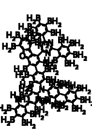 Bc1c(B)c(B)c(-c2nc(-c3c(B)c(B)c(B)c(B)c3B)nc(-c3c(B)c(-c4c(B)c(B)c(N(c5c(B)c(B)c(-c6c(B)c(B)c(B)c(B)c6B)c(B)c5B)c5c(B)c(B)c(-c6c(B)c(B)c(B)c(B)c6B)c(B)c5B)c(B)c4B)c(B)c4oc5c(B)c(B)c(B)c(B)c5c34)n2)c(B)c1B